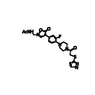 CC(=O)NCn1cc(-c2ccc(N3CCN(C(=O)CSc4nncs4)CC3)c(F)c2)c(=O)o1